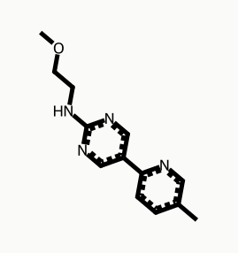 COCCNc1ncc(-c2ccc(C)cn2)cn1